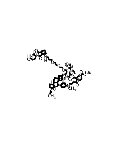 CC#C[C@]12CCC3[C@@H]4CCC5=CC(=O)CCC5=C4[C@@H](c4ccc(N(C)CCCC(=O)N5CCN(C(=O)OC(C)(C)C)CC5C(=O)N5CCN(C(=O)OC(C)(C)C)CC5C(=O)N(C)CCCOCCOCCOCCCNc5cccc6c5C(=O)N(C5CCC(=O)NC5=O)C6=O)cc4)C[C@@]31O2